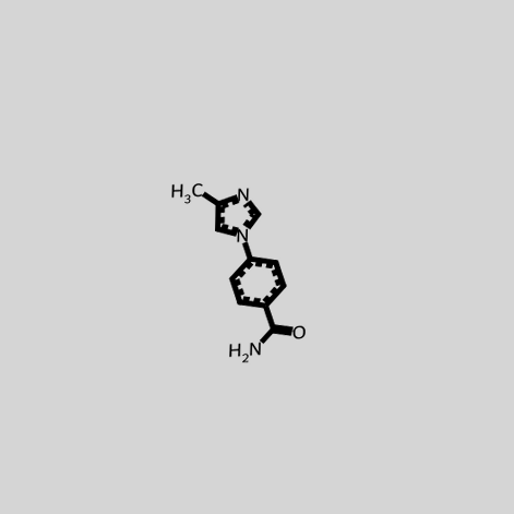 Cc1cn(-c2ccc(C(N)=O)cc2)cn1